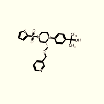 CC(O)(c1ccc(N2CCN(S(=O)(=O)c3cccs3)C[C@H]2COCc2cccnc2)cc1)C(F)(F)F